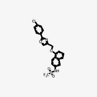 O=S(=O)(Nc1ccc2c(OCc3coc(-c4ccc(Cl)cc4)n3)cccc2c1)C(F)(F)F